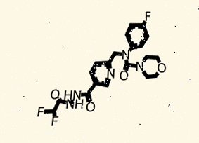 O=C(NNC(=O)C(F)F)c1ccc(CN(C(=O)N2CCOCC2)c2ccc(F)cc2)nc1